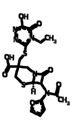 CCn1c(SCC2(C(=O)O)CS[C@@H]3C(N(C(C)=O)c4ccco4)C(=O)N3C2)nnc(O)c1=O